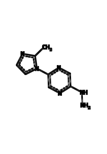 Cc1nccn1-c1cnc(NN)cn1